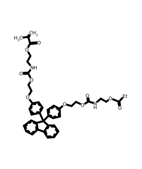 C=C(C)C(=O)OCCNC(=O)OCCOc1ccc(C2(c3ccc(OCCOC(=O)NCCOC(=O)CC)cc3)c3ccccc3-c3ccccc32)cc1